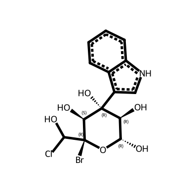 OC(Cl)[C@@]1(Br)O[C@@H](O)[C@H](O)[C@](O)(c2c[nH]c3ccccc23)[C@@H]1O